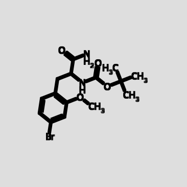 COc1cc(Br)ccc1CC(NC(=O)OC(C)(C)C)C(N)=O